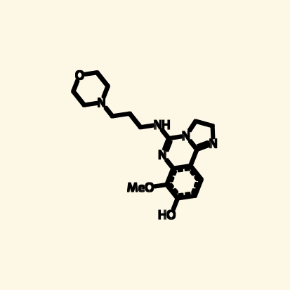 COc1c(O)ccc2c1N=C(NCCCN1CCOCC1)N1CCN=C21